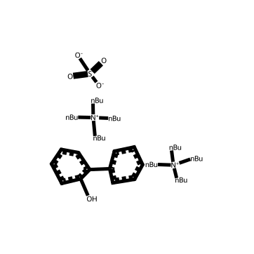 CCCC[N+](CCCC)(CCCC)CCCC.CCCC[N+](CCCC)(CCCC)CCCC.O=S(=O)([O-])[O-].Oc1ccccc1-c1ccccc1